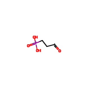 O=[C]CCP(=O)(O)O